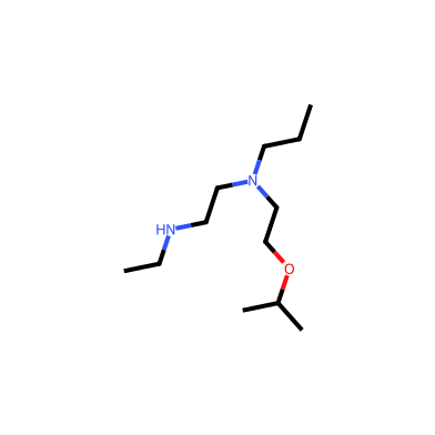 CCCN(CCNCC)CCOC(C)C